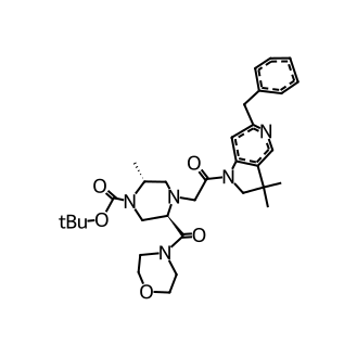 C[C@@H]1CN(CC(=O)N2CC(C)(C)c3cnc(Cc4ccccc4)cc32)[C@@H](C(=O)N2CCOCC2)CN1C(=O)OC(C)(C)C